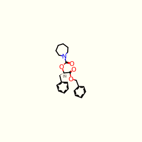 O=C(OCc1ccccc1)[C@H](Cc1ccccc1)OC(=O)N1CCCCCC1